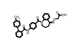 Cc1ccc(-c2ccccc2C(=O)Nc2ccc(C(=O)N3CCC/C(=N/OCC(=O)O)c4ccccc43)cc2)cc1